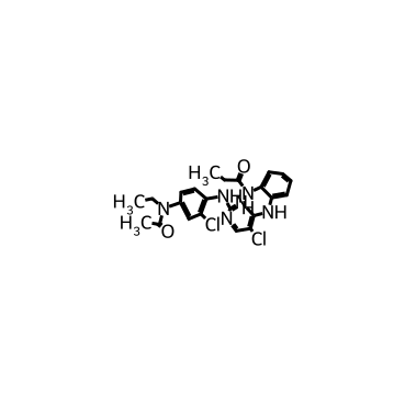 CCC(=O)Nc1ccccc1Nc1nc(Nc2ccc(N(CC)C(C)=O)cc2Cl)ncc1Cl